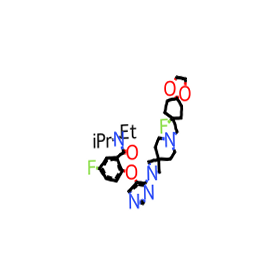 CCN(C(=O)c1cc(F)ccc1Oc1cncnc1N1CC2(CCN(CC3(F)CCC4(CC3)OCCO4)CC2)C1)C(C)C